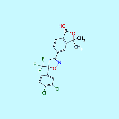 CC1(C)OB(O)c2ccc(C3=NOC(c4ccc(Cl)c(Cl)c4)(C(F)(F)F)C3)cc21